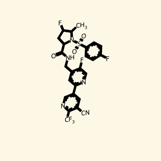 CC1C(F)CC(C(=O)NCc2cc(-c3cnc(C(F)(F)F)c(C#N)c3)ncc2F)N1S(=O)(=O)c1ccc(F)cc1